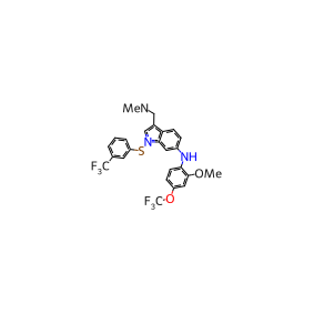 CNCc1cn(Sc2cccc(C(F)(F)F)c2)c2cc(Nc3ccc(OC(F)(F)F)cc3OC)ccc12